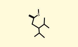 C=C(CC(C(C)C)C(C)C)SC